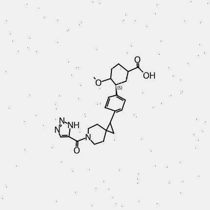 COC1CCC(C(=O)O)C[C@H]1c1ccc(C2CC23CCN(C(=O)c2cnn[nH]2)CC3)cc1